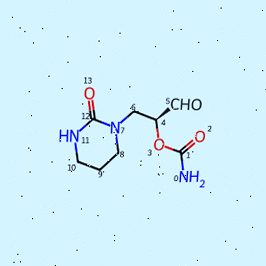 NC(=O)O[C@H](C=O)CN1CCCNC1=O